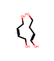 O/C=C/CCO.OC/C=C\CO